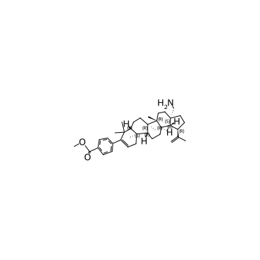 C=C(C)[C@@H]1CC[C@]2(CN)CC[C@]3(C)[C@H](CC[C@@H]4[C@@]5(C)CC=C(c6ccc(C(=O)OC)cc6)C(C)(C)[C@@H]5CC[C@]43C)[C@@H]12